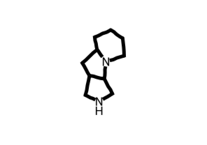 C1CCN2C(C1)CC1CNCC12